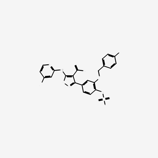 CCS(=O)(=O)Nc1ccc(-c2n[nH]c(Nc3cc(C(F)(F)F)ccn3)c2C(N)=O)cc1OCc1ccc(F)cc1